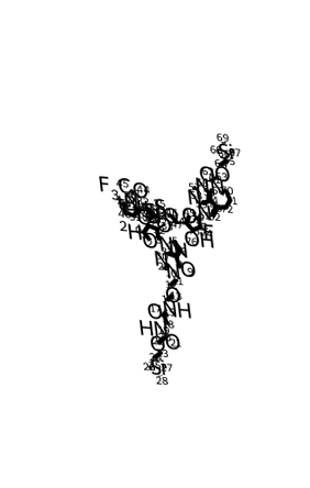 [2H][C@H]1O[C@@H](n2cnc3c(=O)n(CCOCNC(=O)CNC(=O)OCC[Si](C)(C)C)cnc32)[C@H](O[P@@](=S)(OC[C@H]2CCCN2C(=O)C(F)(F)F)OC[C@H]2O[C@@H](n3cc4c5c(ncnc53)N(C(=O)OCC[Si](C)(C)C)CCC4)[C@H](F)[C@@H]2O)[C@@H]1O[Si](C)(C)C(C)(C)C